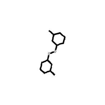 CC1CCCC(OOC2CCCC(C)C2)C1